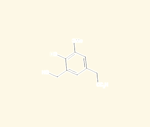 COc1cc(CC(=O)O)cc(CO)c1O